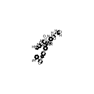 CC(C)c1ccccc1[C@@H]1COCCN1C1CC2(CCN(c3ccc(C(=O)NS(=O)(=O)c4cc5c(c([N+](=O)[O-])c4)N[C@H](CN4C[C@H]6C[C@@H]4CO6)CO5)c(N4c5cc6cc[nH]c6nc5O[C@H]5COCC[C@@H]54)c3)CC2)C1